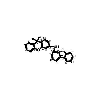 CC1(C)c2ccccc2Oc2cc(Nc3cccc4c3oc3ccccc34)ccc21